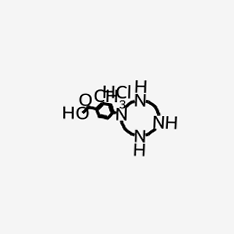 Cc1cc(N2CCCNCCNCCCNCC2)ccc1C(=O)O.Cl